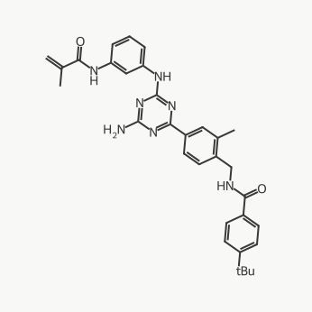 C=C(C)C(=O)Nc1cccc(Nc2nc(N)nc(-c3ccc(CNC(=O)c4ccc(C(C)(C)C)cc4)c(C)c3)n2)c1